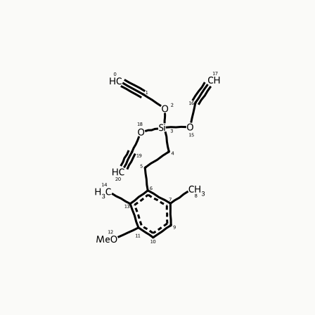 C#CO[Si](CCc1c(C)ccc(OC)c1C)(OC#C)OC#C